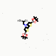 CCCCC(CC)Cn1c2cc(B3OC(C)(C)C(C)(C)O3)sc2c2sc(B3OC(C)(C)C(C)(C)O3)cc21